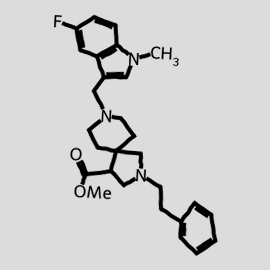 COC(=O)C1CN(CCc2ccccc2)CC12CCN(Cc1cn(C)c3ccc(F)cc13)CC2